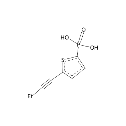 CCC#Cc1ccc(P(=O)(O)O)s1